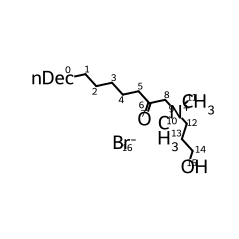 CCCCCCCCCCCCCCCC(=O)C[N+](C)(C)CCCO.[Br-]